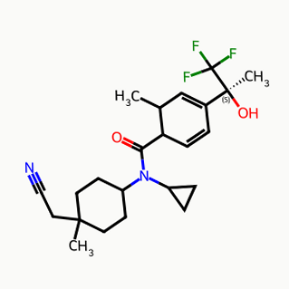 CC1C=C([C@](C)(O)C(F)(F)F)C=CC1C(=O)N(C1CC1)C1CCC(C)(CC#N)CC1